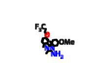 COC1CCC(C)(C2(c3cc(OCCC(F)(F)F)ccc3C)N=C(C)C(N)=N2)CC1